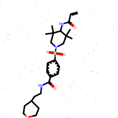 C=CC(=O)NC1C(C)(C)CN(S(=O)(=O)c2ccc(C(=O)NCCC3CCOCC3)cc2)CC1(C)C